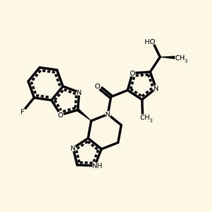 Cc1nc([C@H](C)O)oc1C(=O)N1CCc2[nH]cnc2[C@H]1c1nc2cccc(F)c2o1